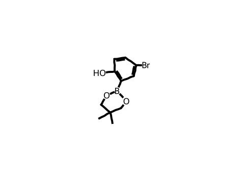 CC1(C)COB(c2cc(Br)ccc2O)OC1